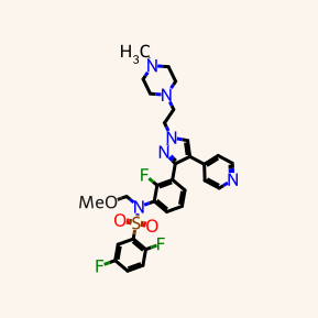 COCN(c1cccc(-c2nn(CCN3CCN(C)CC3)cc2-c2ccncc2)c1F)S(=O)(=O)c1cc(F)ccc1F